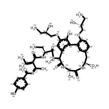 C=C(/N=C(/C)C(C(=O)N[C@@H](CN)C(=O)N(C)C1C(=O)N[C@@H](C)C(=O)N[C@H](C(=O)O)Cc2ccc(OC[C@H](O)CN)c(c2)-c2cc1cc(OC[C@H](O)CN)c2O)=C(C)C)c1ccc(C(C)(C)C)cc1